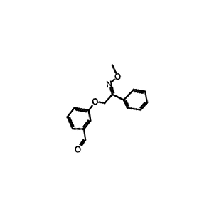 CON=C(COc1cccc(C=O)c1)c1ccccc1